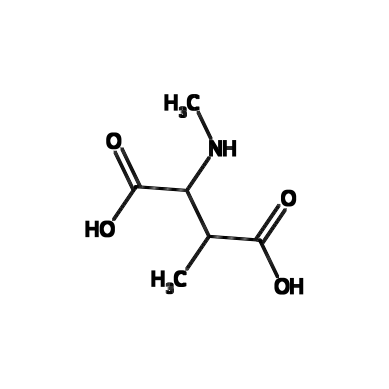 CNC(C(=O)O)C(C)C(=O)O